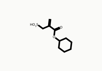 C=C(CS(=O)(=O)O)C(=O)OC1CCCCC1